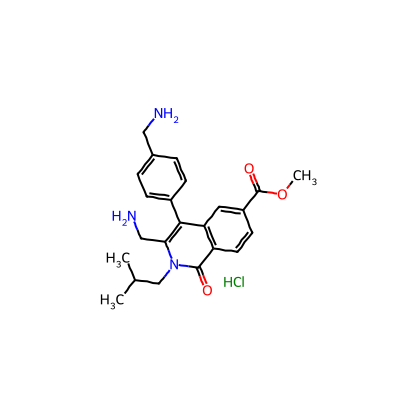 COC(=O)c1ccc2c(=O)n(CC(C)C)c(CN)c(-c3ccc(CN)cc3)c2c1.Cl